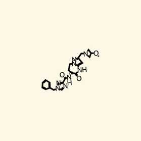 COC1CN(Cc2cc3n(n2)CC[C@H](NC(=O)c2ncn(Cc4ccccc4)n2)C(=O)N3)C1